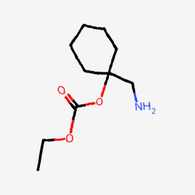 CCOC(=O)OC1(CN)CCCCC1